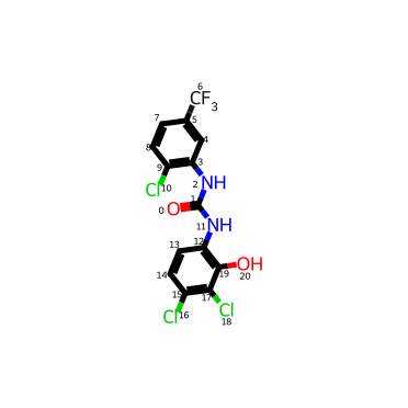 O=C(Nc1cc(C(F)(F)F)ccc1Cl)Nc1ccc(Cl)c(Cl)c1O